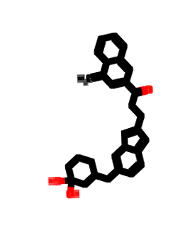 C=C1C=C(C(=O)CCC2=CC3C=C(CC4CCCC(O)(O)C4)C=CC3=C2)C=C2C=CC=CC12